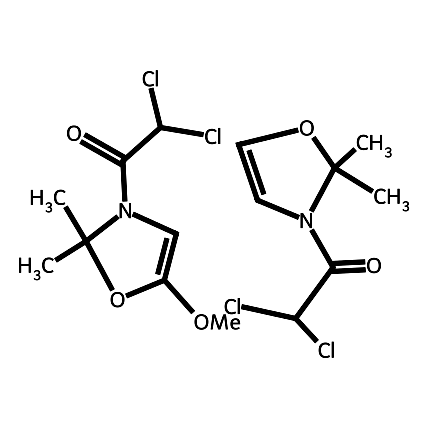 CC1(C)OC=CN1C(=O)C(Cl)Cl.COC1=CN(C(=O)C(Cl)Cl)C(C)(C)O1